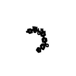 Cc1ccc(-c2nnc(COc3cc(-c4ccc(C(=O)N5CCC(N6CCCC6)CC5)cc4)cnc3N)o2)cc1